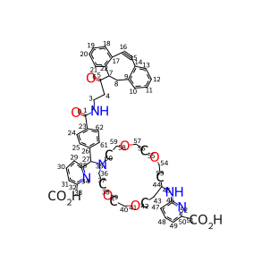 O=C(NCCC(=O)C1Cc2ccccc2C#Cc2ccccc21)c1ccc(C(c2cccc(C(=O)O)n2)N2CCOCCOCCC(Nc3cccc(C(=O)O)n3)CCOCCOCC2)cc1